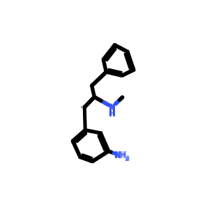 CNC([CH]c1cccc(N)c1)Cc1ccccc1